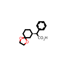 O=C(O)C(c1ccccc1)[C@@H]1CCCC2(C1)OCCO2